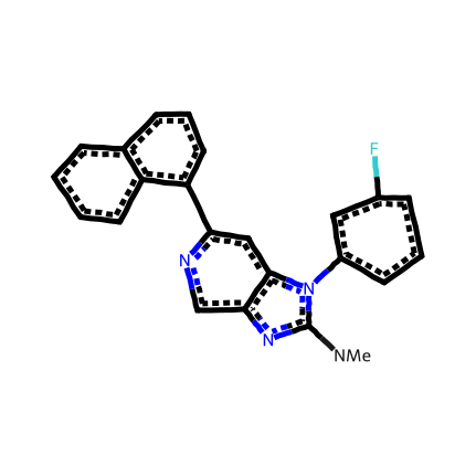 CNc1nc2cnc(-c3cccc4ccccc34)cc2n1-c1cccc(F)c1